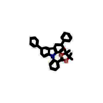 CC1(C)OB(c2ccccc2-n2c3ccc(-c4ccccc4)cc3c3cc(-c4ccccc4)ccc32)OC1(C)C